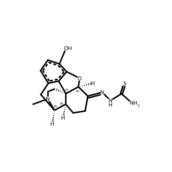 CN1CC[C@]23c4c5ccc(O)c4O[C@H]2C(=NNC(N)=S)CC[C@H]3[C@H]1C5